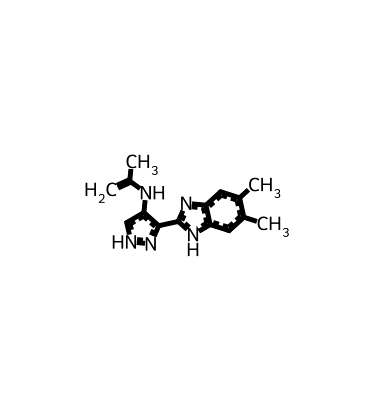 C=C(C)Nc1c[nH]nc1-c1nc2cc(C)c(C)cc2[nH]1